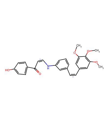 COc1cc(/C=C\c2cccc(N/C=C\C(=O)c3ccc(O)cc3)c2)cc(OC)c1OC